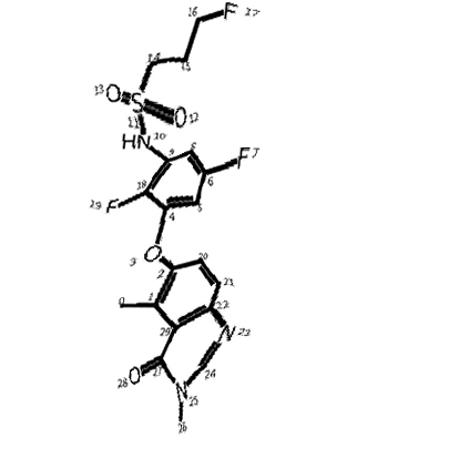 Cc1c(Oc2cc(F)cc(NS(=O)(=O)CCCF)c2F)ccc2ncn(C)c(=O)c12